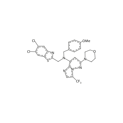 COc1ccc(CN(Cc2nc3cc(Cl)c(Cl)cc3s2)c2cc(N3CCOCC3)nn3c(C(F)(F)F)cnc23)cc1